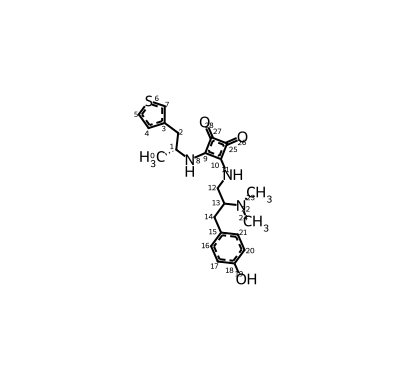 C[C@H](Cc1ccsc1)Nc1c(NCC(Cc2ccc(O)cc2)N(C)C)c(=O)c1=O